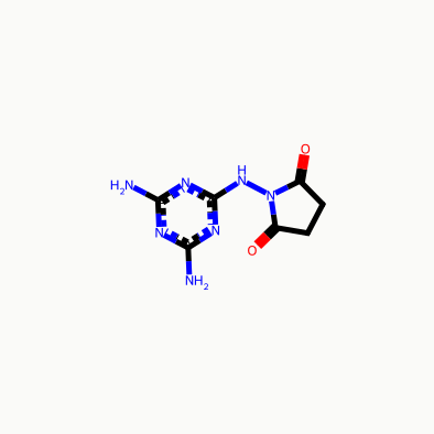 Nc1nc(N)nc(NN2C(=O)CCC2=O)n1